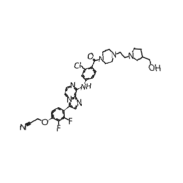 N#CCOc1ccc(-c2cnc3c(Nc4ccc(C(=O)N5CCN(CCN6CCC(CO)C6)CC5)c(Cl)c4)nccn23)c(F)c1F